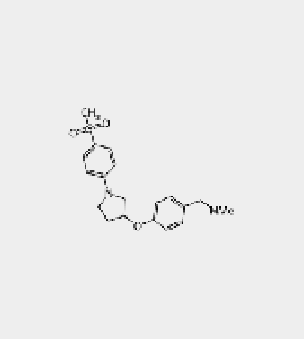 CNCc1ccc(OC2CCN(c3ccc(S(C)(=O)=O)cc3)C2)cc1